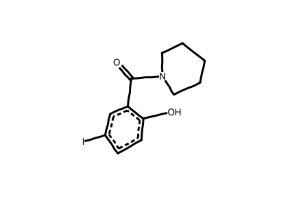 O=C(c1cc(I)ccc1O)N1CCCCC1